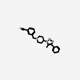 Cc1c(-c2ccccc2)nnn1C1CCN(Cc2cccc(C#N)c2)CC1